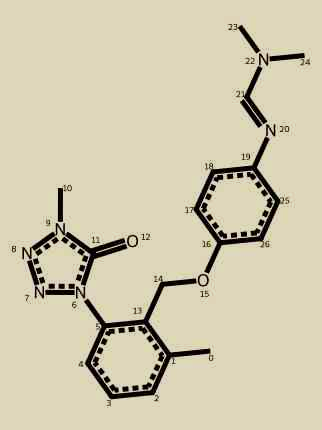 Cc1cccc(-n2nnn(C)c2=O)c1COc1ccc(/N=C/N(C)C)cc1